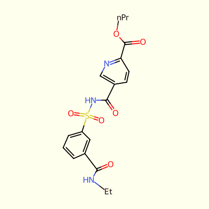 CCCOC(=O)c1ccc(C(=O)NS(=O)(=O)c2cccc(C(=O)NCC)c2)cn1